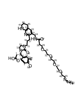 COc1ccc([C@H](CC(=O)O)N2CCN(CCCc3nc4c(cc3CNC(=O)CCOCCOCCOCCOCCN=[N+]=[N-])CCCN4)C2=O)cc1F